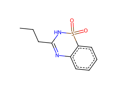 CCCC1=Nc2ccccc2S(=O)(=O)N1